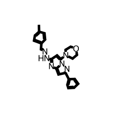 Cc1ccc(/C=N/Nc2cc(N3CCOCC3)n3nc(-c4ccccc4)cc3n2)cc1